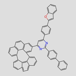 c1ccc(-c2ccc(-c3nc(-c4ccc(-c5cc6ccccc6o5)cc4)cc(-c4cc5ccc6cccc7c8cccc9ccc%10cccc(c(c4)c5c67)c%10c98)n3)cc2)cc1